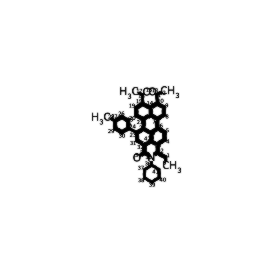 C/C=c1/c2ccc3c4ccc(C(C)=O)c5c(C(C)=O)ccc(c6c(-c7ccc(C)cc7)cc(c(=O)n1C1CCCCC1)c2c36)c54